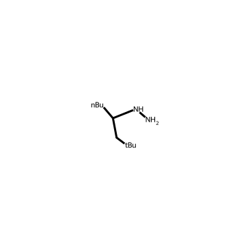 CCCCC(CC(C)(C)C)NN